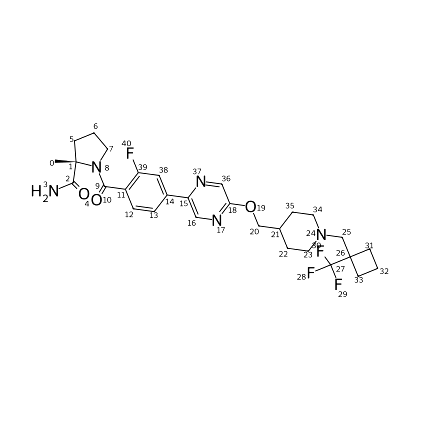 C[C@@]1(C(N)=O)CCCN1C(=O)c1ccc(-c2cnc(OCC3CCN(CC4(C(F)(F)F)CCC4)CC3)cn2)cc1F